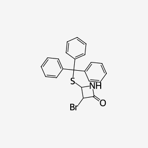 O=C1NC(SC(c2ccccc2)(c2ccccc2)c2ccccc2)C1Br